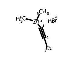 Br.CCC#[C][Zn]([CH3])[CH3]